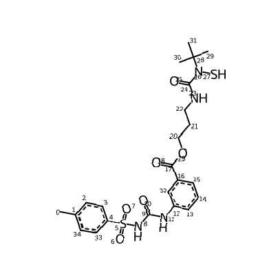 Cc1ccc(S(=O)(=O)NC(=O)Nc2cccc(C(=O)OCCCNC(=O)N(S)C(C)(C)C)c2)cc1